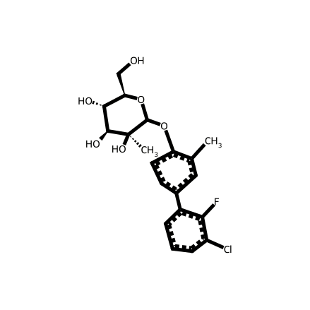 Cc1cc(-c2cccc(Cl)c2F)ccc1OC1O[C@H](CO)[C@@H](O)[C@H](O)[C@]1(C)O